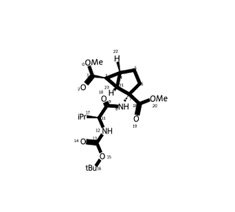 COC(=O)[C@H]1[C@@H]2CC[C@@](NC(=O)[C@@H](NC(=O)OC(C)(C)C)C(C)C)(C(=O)OC)[C@@H]21